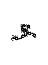 CN(CCN1CCOCC1)C(=O)c1cccc(C(=O)Nc2sc3c(c2C(=O)NC2C=CC(CCCc4ccc(C(=O)O)cc4)=CC2)CCN(CC2CCOCC2)C3)c1